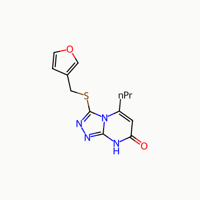 CCCc1cc(=O)[nH]c2nnc(SCc3ccoc3)n12